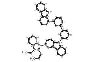 C=Cc1c(/C=C\C)n(-c2ccc3c(c2)c2ccccc2n3-c2cccc(-c3cccc(-c4cccc5c4sc4ccccc45)c3)c2)c2ccccc12